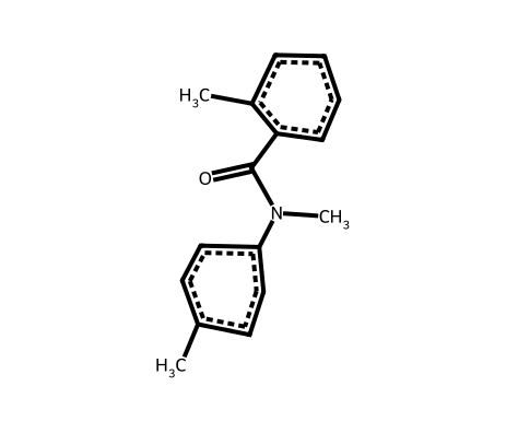 Cc1ccc(N(C)C(=O)c2ccccc2C)cc1